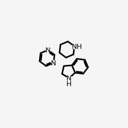 C1CCNCC1.c1ccc2c(c1)CCN2.c1cncnc1